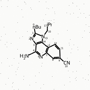 CCCCc1nc2c(N)nc3cc(C#N)ccc3c2n1CC(C)C